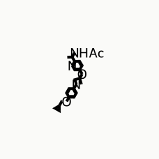 CC(=O)NC(C)c1ccc(OC2CN(c3ccc(OCC4CC4)cc3)C2)cn1